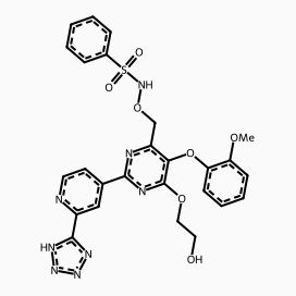 COc1ccccc1Oc1c(CONS(=O)(=O)c2ccccc2)nc(-c2ccnc(-c3nnn[nH]3)c2)nc1OCCO